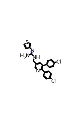 N/C(=N\c1ccsc1)NCc1cnc(-c2ccc(Cl)cc2)c(-c2ccc(Cl)cc2)c1